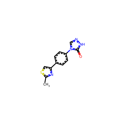 Cc1nc(-c2ccc(-n3cn[nH]c3=O)cc2)cs1